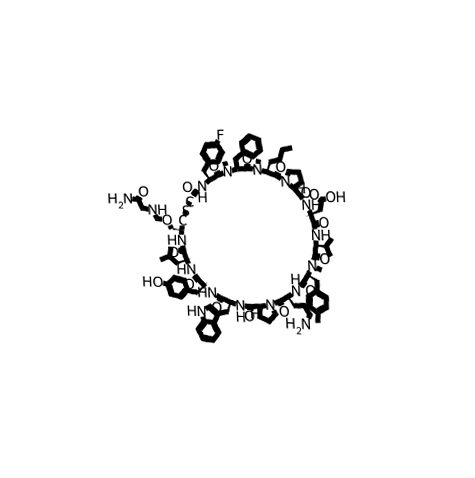 CCCC[C@H]1C(=O)N2CCC[C@@H]2C(=O)N[C@@H](CC(=O)O)C(=O)N[C@@H](C(C)C)C(=O)N(C)[C@@H](Cc2ccc(C)cc2)C(=O)N[C@@H](CCCN)C(=O)N2CCC[C@@H]2C(=O)N[C@@H](Cc2c[nH]c3ccccc23)C(=O)N[C@@H](Cc2ccc(O)cc2)C(=O)N[C@@H](CC(C)C)C(=O)N[C@H](COCNCC(N)=O)CSCC(=O)N[C@@H](Cc2ccc(F)cc2)C(=O)N(C)C(Cc2ccccc2)C(=O)N1C